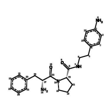 Nc1ccc(CCNC(=O)[C@@H]2CCCN2C(=O)[C@H](N)Cc2ccccc2)cc1